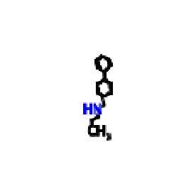 CCCNCc1ccc(-c2ccccc2)cc1